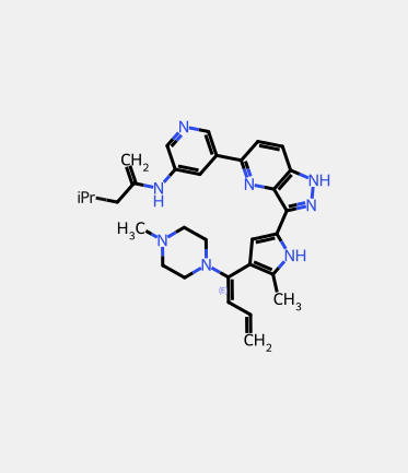 C=C/C=C(\c1cc(-c2n[nH]c3ccc(-c4cncc(NC(=C)CC(C)C)c4)nc23)[nH]c1C)N1CCN(C)CC1